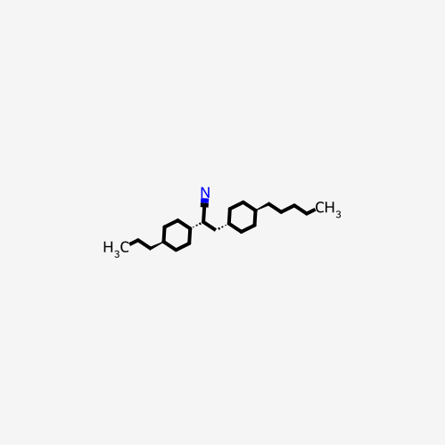 CCCCC[C@H]1CC[C@H](CC(C#N)[C@H]2CC[C@H](CCC)CC2)CC1